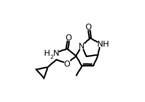 CC1=CC2CN(C(=O)N2)C1(OCC1CC1)C(N)=O